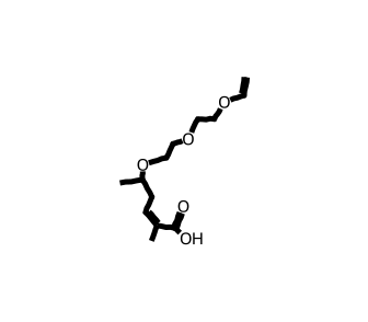 C=COCCOCCOC(C)CC=C(C)C(=O)O